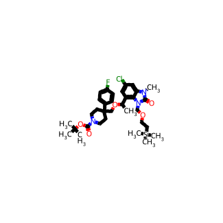 CC(OCC1(c2ccc(F)cc2)CCN(C(=O)OC(C)(C)C)CC1)c1cc(Cl)cc2c1n(COCC[Si](C)(C)C)c(=O)n2C